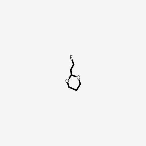 FCCC1OCCCO1